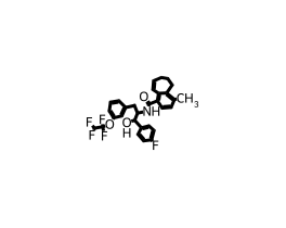 Cc1ccc(C(=O)NC(Cc2cccc(OC(F)(F)C(F)F)c2)C(O)c2ccc(F)cc2)c2c1CCCC=C2